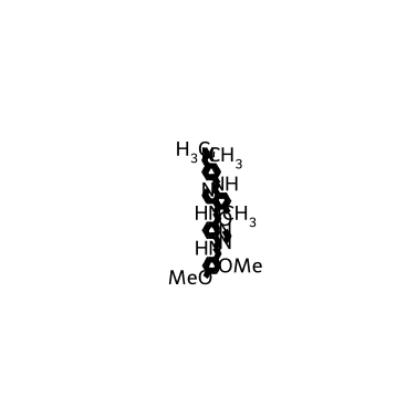 COc1ccc(CNc2ncnc3c(C(=O)Nc4c(C)ccc5c(Nc6ccc(CN(C)C)cc6)nccc45)cccc23)c(OC)c1